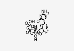 Nc1ccn([C@@H](CF)O[C@](CF)(COP(=O)(O)OP(=O)(O)OP(=O)(O)O)[C@@H](O)F)c(=O)n1